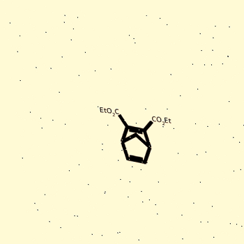 CCOC(=O)C1=C(C(=O)OCC)C2C=CC1C2